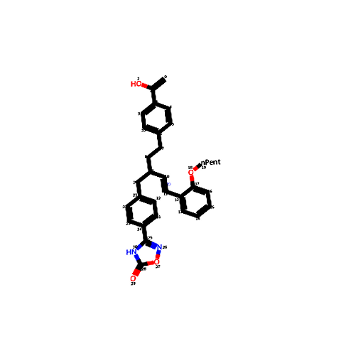 C=C(O)c1ccc(CCC(/C=C/c2ccccc2OCCCCC)Cc2ccc(-c3noc(=O)[nH]3)cc2)cc1